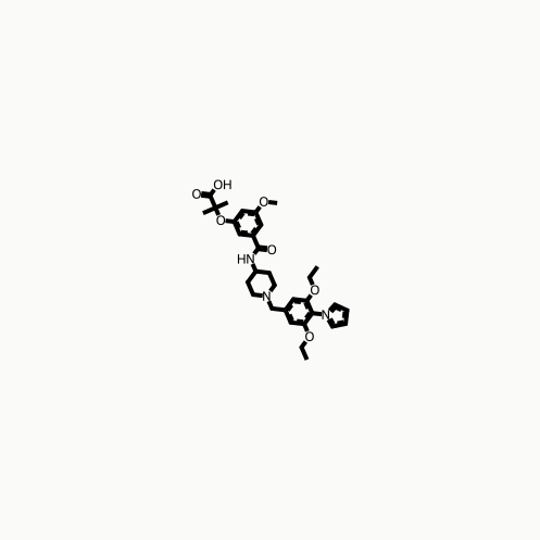 CCOc1cc(CN2CCC(NC(=O)c3cc(OC)cc(OC(C)(C)C(=O)O)c3)CC2)cc(OCC)c1-n1cccc1